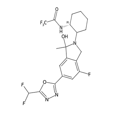 CC1(O)c2cc(-c3nnc(C(F)F)o3)cc(F)c2CN1C1CCCC[C@H]1NC(=O)C(F)(F)F